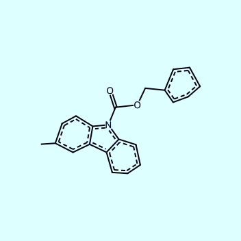 Cc1ccc2c(c1)c1ccccc1n2C(=O)OCc1ccccc1